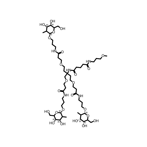 COCCCNC(=O)CCCC(=O)NC(CCOCCC(=O)NCCCO[C@@H]1OC(CO)[C@H](O)[C@H](O)C1C)(CCOCCC(=O)NCCCO[C@@H]1OC(CO)[C@H](O)[C@H](O)C1C)COCCC(=O)NCCCO[C@@H]1OC(CO)[C@H](O)[C@H](O)C1C